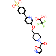 CS(=O)(=O)c1ccc(-c2ccc(OCC3CCN(C(=O)c4ccno4)CC3)cn2)cc1.O=C(O)C(F)(F)F